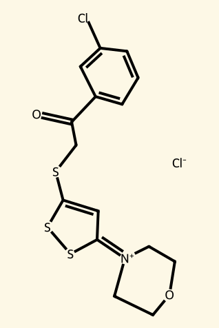 O=C(CSc1cc(=[N+]2CCOCC2)ss1)c1cccc(Cl)c1.[Cl-]